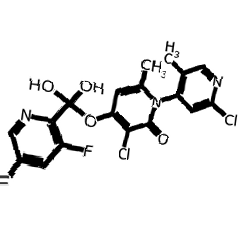 Cc1cnc(Cl)cc1-n1c(C)cc(OC(O)(O)c2ncc(F)cc2F)c(Cl)c1=O